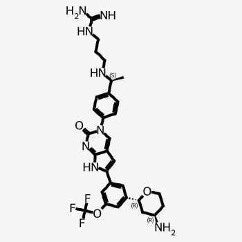 C[C@H](NCCCNC(=N)N)c1ccc(-n2cc3cc(-c4cc(OC(F)(F)F)cc([C@H]5C[C@H](N)CCO5)c4)[nH]c3nc2=O)cc1